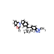 CC[C@@H]1CN([C@H]2CCc3ccc([C@@H](CC(=O)O)c4ccc5c(nnn5C)c4C)cc32)Cc2ccccc2O1